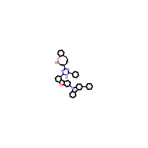 B1/C=C(C2=NC(c3cccc4oc5cc(-n6c7ccccc7c7cc(-c8ccccc8)ccc76)ccc5c34)NC(c3ccccc3)=N2)\C=C/Cc2ccccc2O1